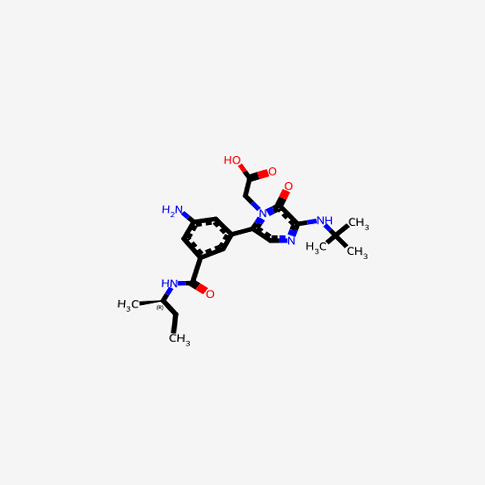 CC[C@@H](C)NC(=O)c1cc(N)cc(-c2cnc(NC(C)(C)C)c(=O)n2CC(=O)O)c1